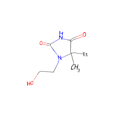 CCC1(C)C(=O)NC(=O)N1CCO